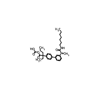 CCCCCCCNC(=O)N(C)c1cccc(-c2ccc(C(CC)(CCC)C(=O)OC(=O)O)cc2)c1